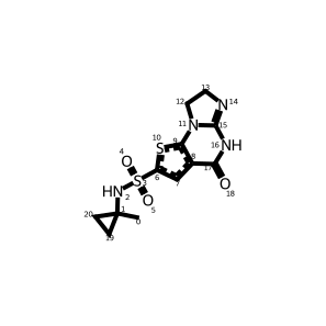 CC1(NS(=O)(=O)c2cc3c(s2)N2CCN=C2NC3=O)CC1